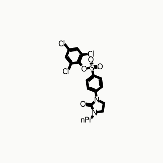 CCCN1CCN(c2ccc(S(=O)(=O)Oc3c(Cl)cc(Cl)cc3Cl)cc2)C1=O